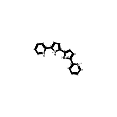 c1ccc(-c2ccc(-c3ccc(-c4ccccn4)[nH]3)[nH]2)nc1